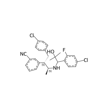 C[C@H](NC(c1ccc(Cl)cc1F)C(C)(C)O)[C@@H](Cc1ccc(Cl)cc1)c1cccc(C#N)c1